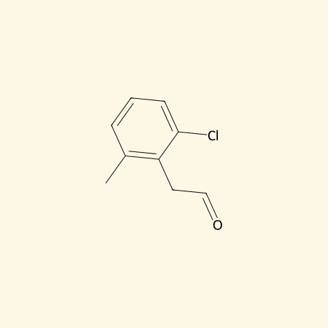 Cc1cccc(Cl)c1CC=O